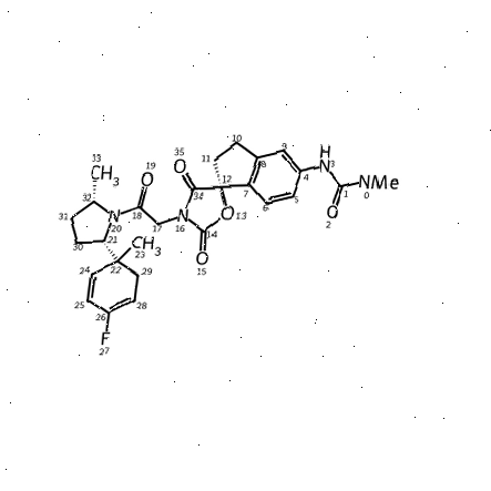 CNC(=O)Nc1ccc2c(c1)CC[C@@]21OC(=O)N(CC(=O)N2[C@H](C3(C)C=CC(F)=CC3)CC[C@@H]2C)C1=O